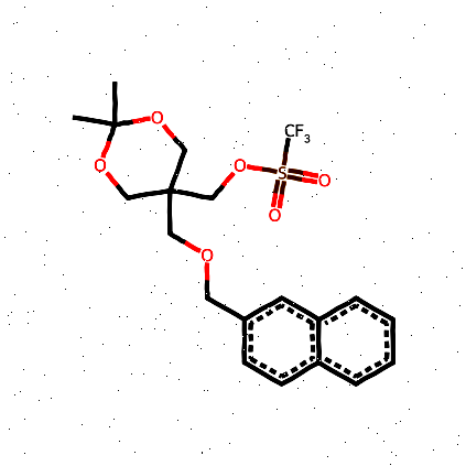 CC1(C)OCC(COCc2ccc3ccccc3c2)(COS(=O)(=O)C(F)(F)F)CO1